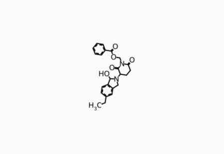 CCc1ccc2c(c1)CN(C1CCC(=O)N(COC(=O)c3ccccc3)C1=O)C2O